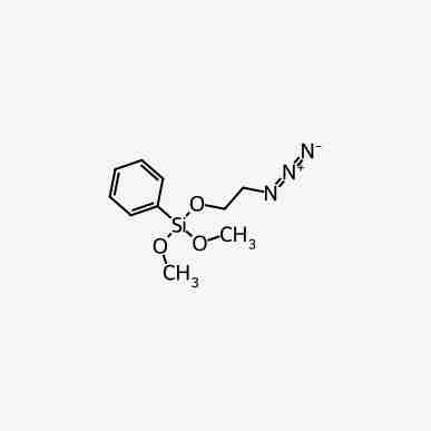 CO[Si](OC)(OCCN=[N+]=[N-])c1ccccc1